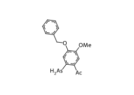 COc1cc(C(C)=O)c([AsH2])cc1OCc1ccccc1